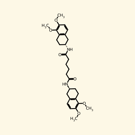 COc1ccc2c(c1OC)CC[C@@H](NC(=O)CCCCC(=O)N[C@H]1CCc3c(ccc(OC)c3OC)C1)C2